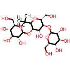 CC(C)(C)C1O[C@H](CO)[C@@H](OC2O[C@H](CO)[C@@H](O)[C@H](O)[C@H]2O)[C@H](O)[C@H]1OC1O[C@H](CO)[C@@H](O)[C@H](O)[C@H]1O